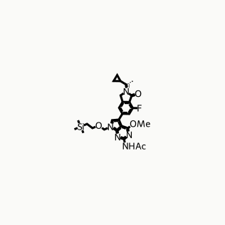 COc1nc(NC(C)=O)nc2c1c(-c1cc(F)c3c(c1)CN([C@@H](C)C1CC1)C3=O)cn2COCC[Si](C)(C)C